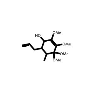 C=CCC1C(O)C(OC)=C(OC)C(OC)(OC)C1C